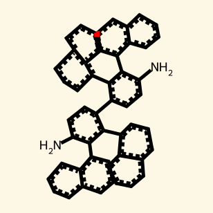 Nc1ccc(-c2ccc(N)c(-c3cccc4ccccc34)c2-c2cccc3ccccc23)c(-c2cccc3ccccc23)c1-c1cccc2ccccc12